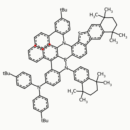 CC(C)(C)c1ccc(N(c2ccc(C(C)(C)C)cc2)c2ccc3c(c2)-c2c4c(cc5ccccc25)N(c2ccc(C(C)(C)C)cc2-c2ccccc2)c2c(ccc5c2sc2cc6c(cc25)C(C)(C)CCC6(C)C)B4N3c2ccc3c(c2)C(C)(C)CCC3(C)C)cc1